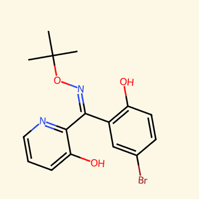 CC(C)(C)O/N=C(/c1cc(Br)ccc1O)c1ncccc1O